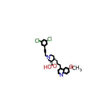 COc1ccc2nccc(CCC[C@@H]3CCN(CC#Cc4cc(Cl)cc(Cl)c4)C[C@@H]3C(=O)O)c2c1